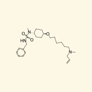 C=CCN(C)CCCCCCO[C@H]1CC[C@H](N(C)S(=O)(=O)NCc2ccccc2)CC1